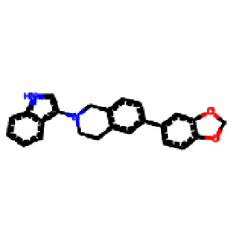 c1ccc2c(N3CCc4cc(-c5ccc6c(c5)OCO6)ccc4C3)c[nH]c2c1